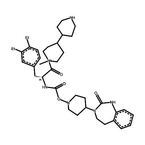 CCc1ccc(C[C@@H](NC(=O)ON2CCC(N3CCc4ccccc4NC3=O)CC2)C(=O)[N+]2(C)CCC(C3CCNCC3)CC2)cc1CC